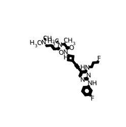 C[C@@H](C(=O)NC1CC(C#Cc2cnc(Nc3cccc(F)c3)nc2NCCCF)C1)N(C)C(=O)/C=C/CN(C)C